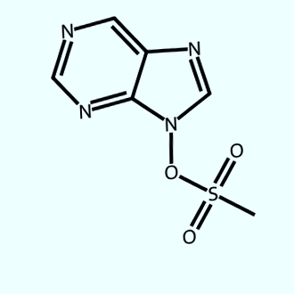 CS(=O)(=O)On1cnc2cncnc21